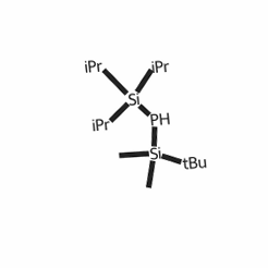 CC(C)[Si](P[Si](C)(C)C(C)(C)C)(C(C)C)C(C)C